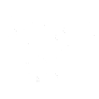 CC(=O)Nc1nc2c(s1)-c1c(c(C3CC3)nn1-c1ccc([N+](=O)[O-])cc1Cl)CC2